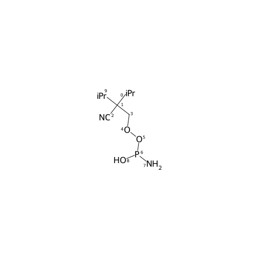 CC(C)C(C#N)(COOP(N)O)C(C)C